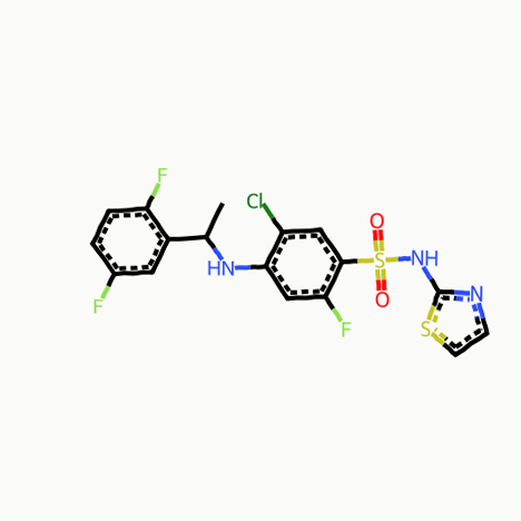 CC(Nc1cc(F)c(S(=O)(=O)Nc2nccs2)cc1Cl)c1cc(F)ccc1F